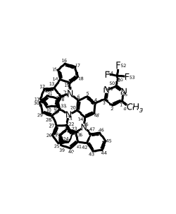 Cc1cc(-c2cc(-n3c4ccccc4c4ccccc43)c(-n3c4ccccc4c4ccccc43)c(-n3c4ccccc4c4ccccc43)c2)nc(C(F)(F)F)n1